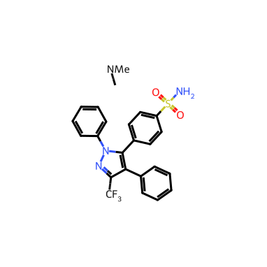 CNC.NS(=O)(=O)c1ccc(-c2c(-c3ccccc3)c(C(F)(F)F)nn2-c2ccccc2)cc1